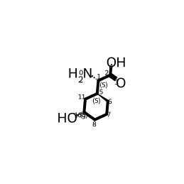 N[C@H](C(=O)O)[C@H]1CCC[C@H](O)C1